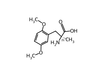 COc1ccc(OC)c(C[C@](C)(N)C(=O)O)c1